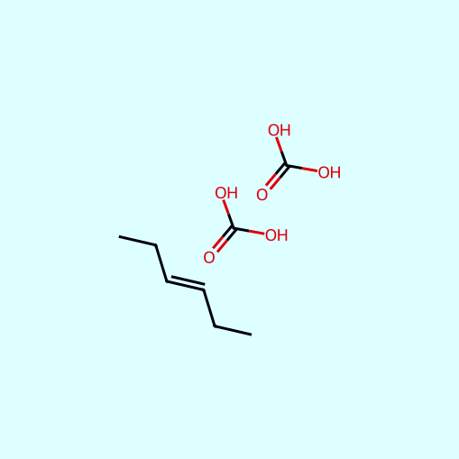 CCC=CCC.O=C(O)O.O=C(O)O